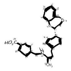 CC(Cc1ccc([C@H]2COc3ccccc3O2)cc1)NCc1ccc(C(=O)O)cc1